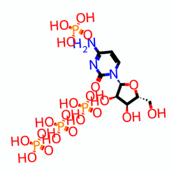 Nc1ccn([C@@H]2O[C@H](CO)[C@@H](O)[C@H]2O)c(=O)n1.O=P(O)(O)O.O=P(O)(O)O.O=P(O)(O)O.O=P(O)(O)O